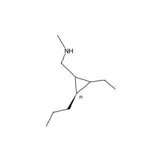 CCC[C@@H]1C(CC)C1CNC